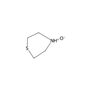 [O-][NH+]1CCSCC1